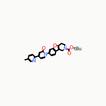 Cc1ccc(-c2ccn(-c3ccc4c5c(oc4c3)CCN(C(=O)OC(C)(C)C)C5)c(=O)c2)nc1